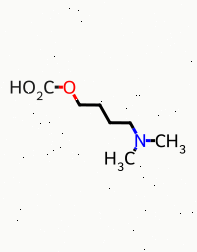 CN(C)CCCCOC(=O)O